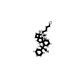 C[N+]1(CCCCCl)[C@H]2CCC23C[C@@H](CC(C#N)(c2ccccc2)c2ccccc2)C[C@@H]31